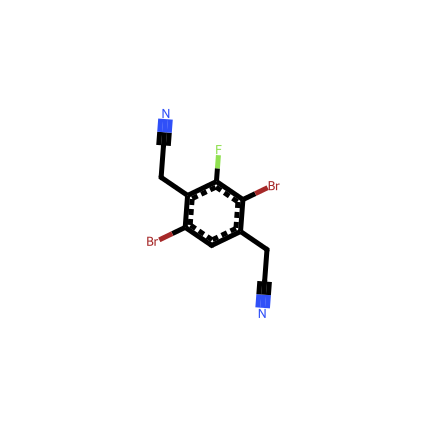 N#CCc1cc(Br)c(CC#N)c(F)c1Br